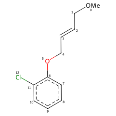 COC/C=C/COc1ccccc1Cl